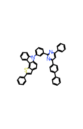 c1ccc(-c2ccc(-c3cc(-c4ccccc4)nc(-c4cccc(-n5c6ccccc6c6c7sc(-c8ccccc8)cc7ccc65)c4)n3)cc2)cc1